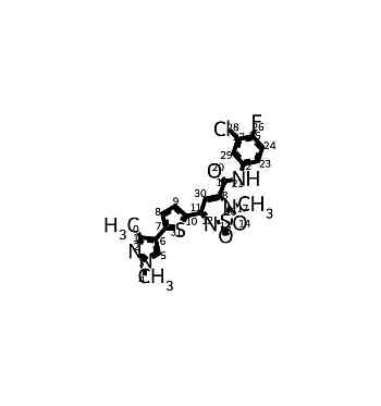 Cc1nn(C)cc1-c1ccc(C2=NS(=O)(=O)N(C)C(C(=O)Nc3ccc(F)c(Cl)c3)=C2)s1